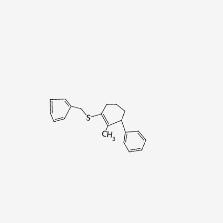 CC1=C(SCc2ccccc2)CCCC1c1ccccc1